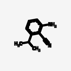 CC(C)c1cccc(N)c1C#N